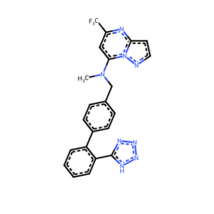 CN(Cc1ccc(-c2ccccc2-c2nnn[nH]2)cc1)c1cc(C(F)(F)F)nc2ccnn12